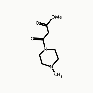 COC(=O)CC(=O)N1CCN(C)CC1